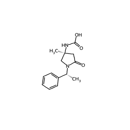 C[C@H](c1ccccc1)N1C[C@@](C)(NC(=O)O)CC1=O